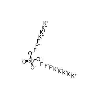 [F-].[F-].[F-].[F-].[F-].[F-].[K+].[K+].[K+].[K+].[K+].[K+].[K+].[K+].[K+].[O]=[Sb]([O-])([O-])[O-]